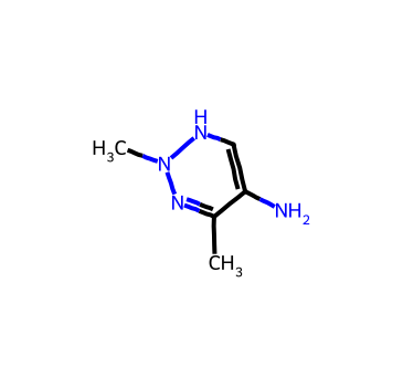 CC1=NN(C)NC=C1N